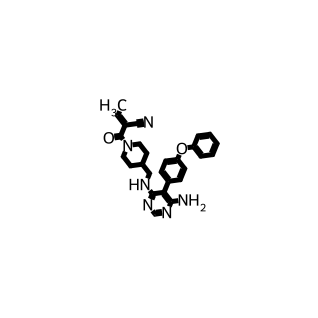 CC=C(C#N)C(=O)N1CCC(CNc2ncnc(N)c2-c2ccc(Oc3ccccc3)cc2)CC1